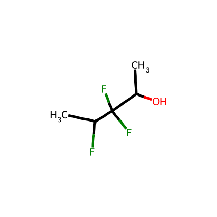 CC(O)C(F)(F)C(C)F